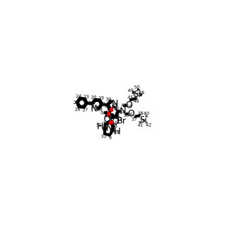 CC(C)(C)OC(=O)N1[C@@H]2CC[C@H]1C[C@@H](c1nc3c(-c4ccc(-c5ccccc5)nc4)cnn3c(N(COCC[Si](C)(C)C)COCC[Si](C)(C)C)c1Br)C2